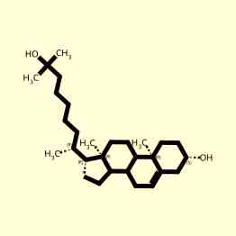 C[C@H](CCCCCC(C)(C)O)[C@H]1CCC2C3CC=C4C[C@@H](O)CC[C@]4(C)C3CC[C@@]21C